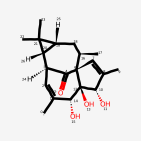 [CH2]C1=C[C@@H]2C(=O)[C@]3(C=C(C)[C@H](O)[C@]3(O)[C@@H]1O)[C@H](C)C[C@@H]1[C@H]2C1(C)C